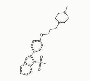 CN1CCN(CCCOc2ccc(-c3cc4ccccc4n3S(C)(=O)=O)cc2)CC1